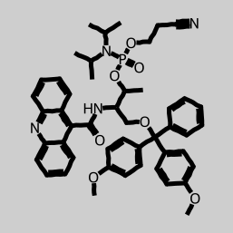 COc1ccc(C(OCC(NC(=O)c2c3ccccc3nc3ccccc23)C(C)OP(=O)(OCCC#N)N(C(C)C)C(C)C)(c2ccccc2)c2ccc(OC)cc2)cc1